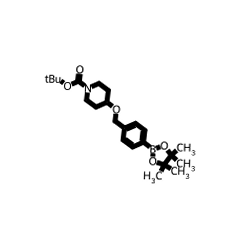 CC(C)(C)OC(=O)N1CCC(OCc2ccc(B3OC(C)(C)C(C)(C)O3)cc2)CC1